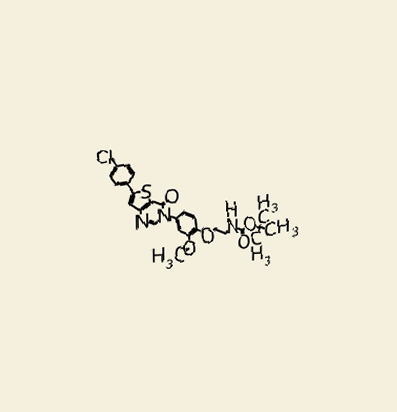 COc1cc(-n2cnc3cc(-c4ccc(Cl)cc4)sc3c2=O)ccc1OCCNC(=O)OC(C)(C)C